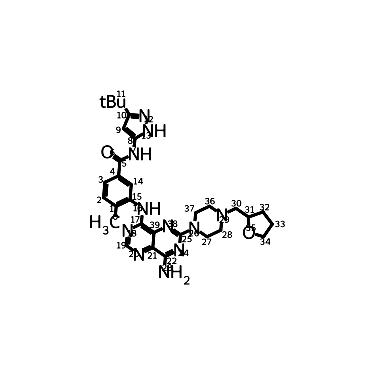 Cc1ccc(C(=O)Nc2cc(C(C)(C)C)n[nH]2)cc1Nc1ncnc2c(N)nc(N3CCN(CC4CCCO4)CC3)nc12